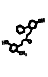 Cc1ccc(O)cc1CCC(=O)CCc1cc(O)ccc1-c1ccccc1